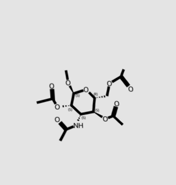 CO[C@H]1O[C@H](COC(C)=O)[C@@H](OC(C)=O)[C@H](NC(C)=O)[C@@H]1OC(C)=O